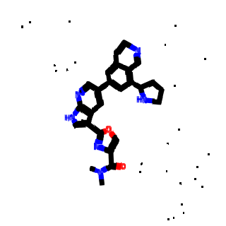 CN(C)C(=O)c1coc(-c2c[nH]c3ncc(-c4cc(C5CCCN5)c5cnccc5c4)cc23)n1